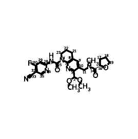 COC(OC)c1nc2c(cc1CN(C)C(=O)[C@@H]1CCCO1)CCCN2C(=O)Nc1cc(F)c(C#N)cn1